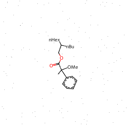 CCCCCCC(CCCC)COC(=O)C(C)(OC)c1ccccc1